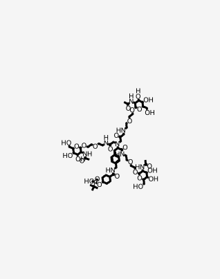 CC(=O)NC1C(OCCOCCNCC(=O)CN(CC(=O)NCCOCCOC2OC(CO)C(O)C(O)C2NC(C)=O)C(Cc2ccc(CNC(=O)C3CCC(OP(=O)(O)C(C)(C)C)CC3)cc2)C(=O)NCCOCCOC2OC(CO)C(O)C(O)C2NC(C)=O)OC(CO)C(O)C1O